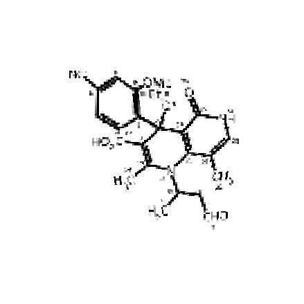 CCOC1(c2ccc(C#N)cc2OC)C(C(=O)O)=C(C)N(C(C)CC=O)c2c(C)c[nH]c(=O)c21